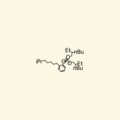 CCCCC(CC)COP(OCC(CC)CCCC)Oc1ccccc1CCCCCC(C)C